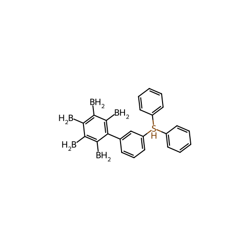 Bc1c(B)c(B)c(-c2cccc([SH](c3ccccc3)c3ccccc3)c2)c(B)c1B